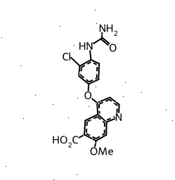 COc1cc2nccc(Oc3ccc(NC(N)=O)c(Cl)c3)c2cc1C(=O)O